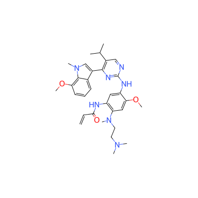 C=CC(=O)Nc1cc(Nc2ncc(C(C)C)c(-c3cn(C)c4c(OC)cccc34)n2)c(OC)cc1N(C)CCN(C)C